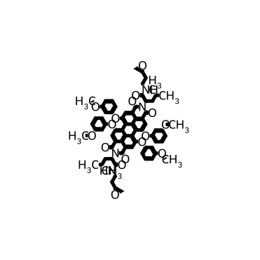 COc1cccc(Oc2cc3c4c(cc(Oc5cccc(OC)c5)c5c6c(Oc7cccc(OC)c7)cc7c8c(cc(Oc9cccc(OC)c9)c(c2c45)c86)C(=O)N(C(CC(C)C)C(=O)NCCC2CO2)C7=O)C(=O)N(C(CC(C)C)C(=O)NCCC2CO2)C3=O)c1